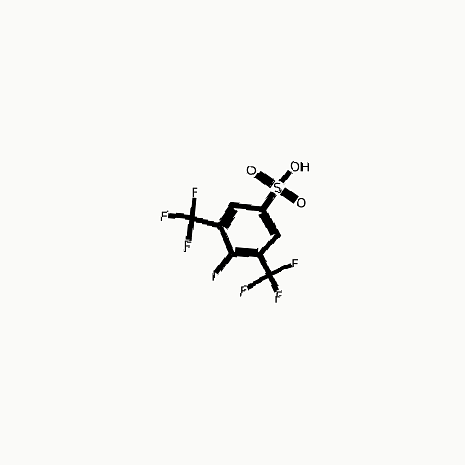 O=S(=O)(O)c1cc(C(F)(F)F)c(I)c(C(F)(F)F)c1